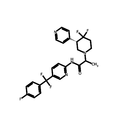 CC(C(=O)Nc1ccc(C(F)(F)c2ccc(F)cc2)cn1)N1CCC(F)(F)[C@@H](c2ccncc2)C1